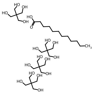 CCCCCCCCCCCC(=O)O.OCC(CO)(CO)CO.OCC(CO)(CO)CO.OCC(CO)(CO)CO.OCC(CO)(CO)CO